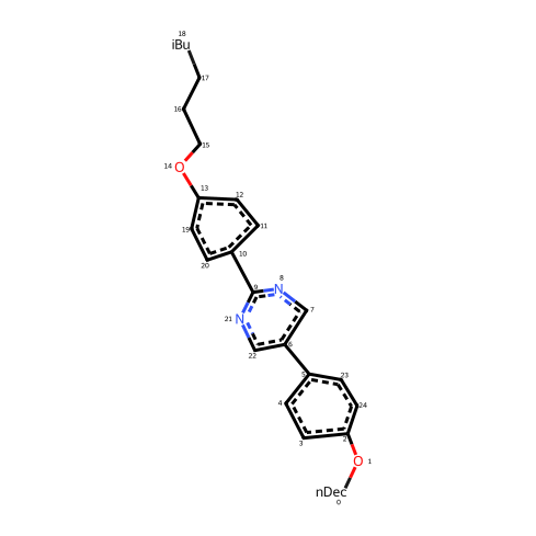 CCCCCCCCCCOc1ccc(-c2cnc(-c3ccc(OCCCC(C)CC)cc3)nc2)cc1